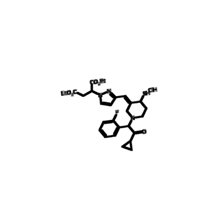 CCOC(=O)CC(C(=O)OCC)n1ccc(/C=C2\CN(C(C(=O)C3CC3)c3ccccc3F)CCC2S)n1.Cl